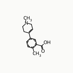 Cc1ccc(C2=CCN(C)CC2)cc1C(=O)O